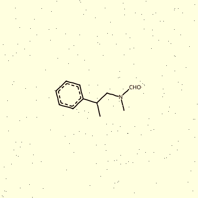 CC(CN(C)[C]=O)c1ccccc1